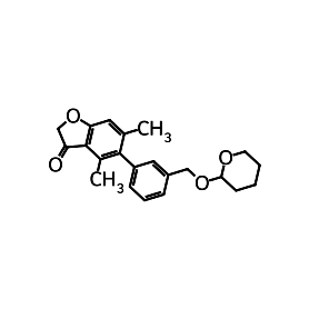 Cc1cc2c(c(C)c1-c1cccc(COC3CCCCO3)c1)C(=O)CO2